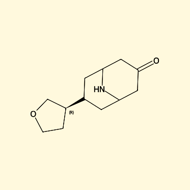 O=C1CC2CC([C@H]3CCOC3)CC(C1)N2